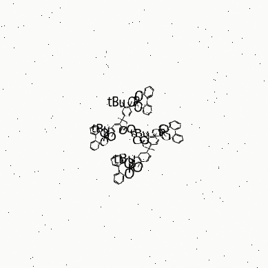 CC(C)(C)c1cc(C(C)(CC(=O)OCCOC(=O)CC(C)(c2ccc(Op3oc4ccccc4c4ccccc4o3)c(C(C)(C)C)c2)c2ccc(Op3oc4ccccc4c4ccccc4o3)c(C(C)(C)C)c2)c2ccc(Op3oc4ccccc4c4ccccc4o3)c(C(C)(C)C)c2)ccc1Op1oc2ccccc2c2ccccc2o1